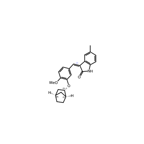 COc1ccc(/C=C2\C(=O)Nc3ccc(C)cc32)cc1O[C@H]1C[C@@H]2CC[C@H]1C2